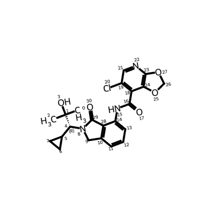 CC(C)(O)[C@@H](C1CC1)N1Cc2cccc(NC(=O)c3c(Cl)cnc4c3OCO4)c2C1=O